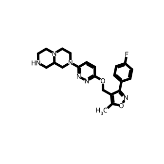 Cc1onc(-c2ccc(F)cc2)c1COc1ccc(N2CCN3CCNCC3C2)nn1